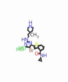 CC1(CCNc2ncc(Br)c(-c3cc4c(C(=O)NC5CC5)cccc4s3)n2)CCNCC1.Cl.Cl